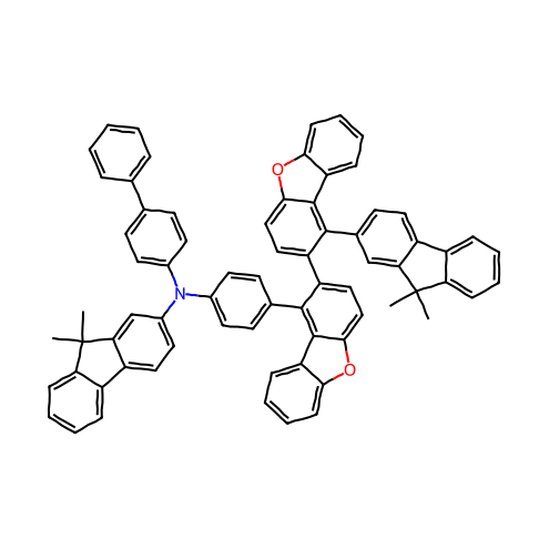 CC1(C)c2ccccc2-c2ccc(-c3c(-c4ccc5oc6ccccc6c5c4-c4ccc(N(c5ccc(-c6ccccc6)cc5)c5ccc6c(c5)C(C)(C)c5ccccc5-6)cc4)ccc4oc5ccccc5c34)cc21